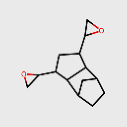 C1CC2CC1C1C(C3CO3)CC(C3CO3)C21